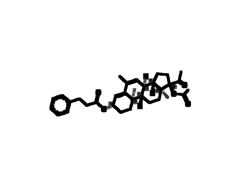 CC(=O)O[C@]1(C(C)=O)CC[C@H]2[C@@H]3C=C(C)C4=C[C@@H](OC(=O)CCc5ccccc5)CC[C@]4(C)[C@H]3CC[C@@]21C